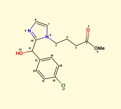 COC(=O)CCCn1ccnc1C(O)c1ccc(Cl)cc1